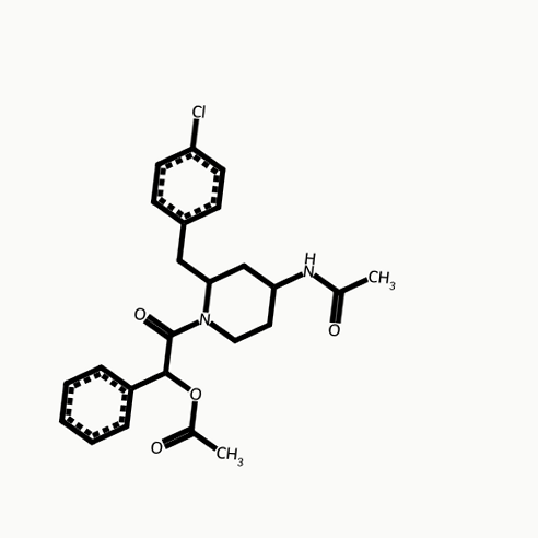 CC(=O)NC1CCN(C(=O)C(OC(C)=O)c2ccccc2)C(Cc2ccc(Cl)cc2)C1